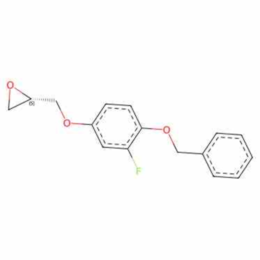 Fc1cc(OC[C@@H]2CO2)ccc1OCc1ccccc1